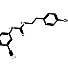 C#Cc1cccc(NC(=O)NCCc2ccc(O)cc2)c1